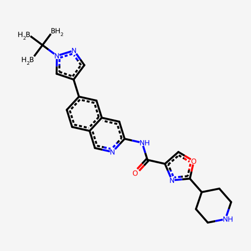 BC(B)(B)n1cc(-c2ccc3cnc(NC(=O)c4coc(C5CCNCC5)n4)cc3c2)cn1